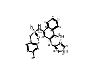 O=S(=O)(Cc1ccc(F)cc1)Nc1cc(Sc2nc[nH]n2)c(O)c2ccccc12